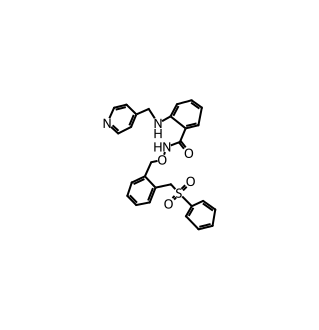 O=C(NOCc1ccccc1CS(=O)(=O)c1ccccc1)c1ccccc1NCc1ccncc1